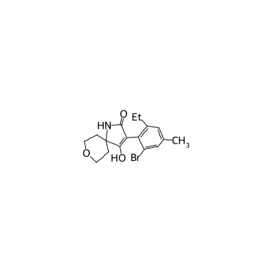 CCc1cc(C)cc(Br)c1C1=C(O)C2(CCOCC2)NC1=O